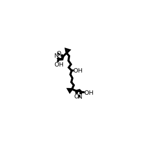 Oc1cc(C2(CCCCC(O)CCCCC3(c4cc(O)no4)CC3)CC2)on1